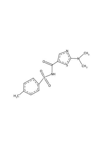 Cc1ccc(S(=O)(=O)NC(=O)c2cnc(N(C)C)s2)cc1